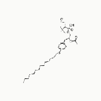 CCCCCCCCCCCCCCOc1ccc(CC(COP(=O)(O)C(CC[O-])[N+](C)(C)C)OC(C)=O)cc1